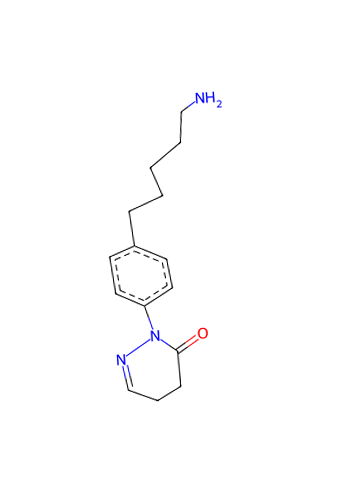 NCCCCCc1ccc(N2N=CCCC2=O)cc1